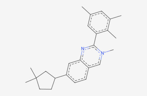 Cc1cc(C)c(C)c(-c2nc3cc(C4CCC(C)(C)C4)ccc3c[n+]2C)c1